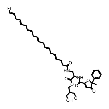 CCC=CCC=CCC=CCC=CCC=CCC=CCCC(=O)NCC(NC(=O)C1=CC(=O)C(C)(c2ccccc2)O1)C(=O)OCC(CO)CO